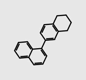 [c]1c(-c2cccc3ccccc23)ccc2c1CCCC2